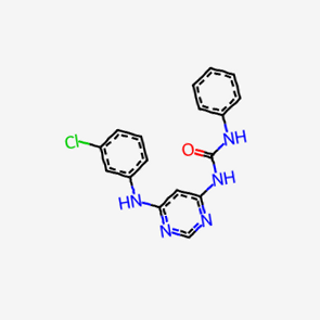 O=C(Nc1ccccc1)Nc1cc(Nc2cccc(Cl)c2)ncn1